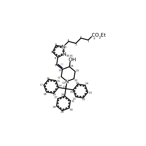 CCOC(=O)CCCCn1ccc(/C=C2/CN(C(c3ccccc3)(c3ccccc3)c3ccccc3)CCC2O)n1